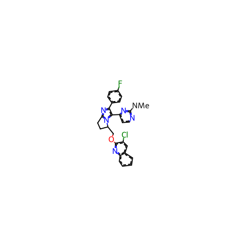 CNc1nccc(-c2c(-c3ccc(F)cc3)nc3n2C(COc2nc4ccccc4cc2Cl)CC3)n1